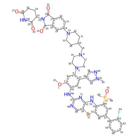 COc1cc(N2CCN(CC3CCN(c4ccc5c(c4)C(=O)N(C4CCC(=O)NC4=O)C5=O)CC3)CC2)c(-c2cnn(C)c2)cc1Nc1ncc(Br)c(Nc2ccc(-c3ccccc3F)cc2P(C)(C)=O)n1